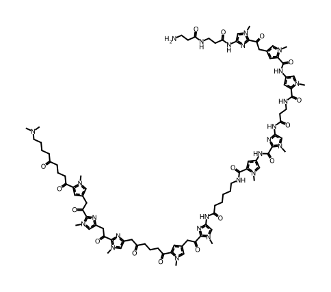 CN(C)CCCCC(=O)CCCC(=O)c1cc(CC(=O)c2nc(CC(=O)c3nc(CC(=O)CCCC(=O)c4cc(CC(=O)c5nc(NC(=O)CCCCCNC(=O)c6cc(NC(=O)c7nc(NC(=O)CCNC(=O)c8cc(NC(=O)c9cc(CC(=O)c%10nc(NC(=O)CCNC(=O)CCN)cn%10C)cn9C)cn8C)cn7C)cn6C)cn5C)cn4C)cn3C)cn2C)cn1C